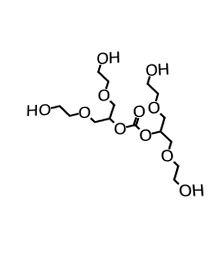 O=C(OC(COCCO)COCCO)OC(COCCO)COCCO